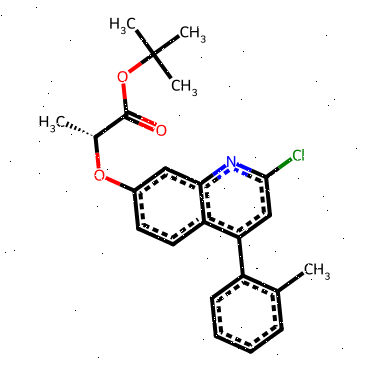 Cc1ccccc1-c1cc(Cl)nc2cc(O[C@H](C)C(=O)OC(C)(C)C)ccc12